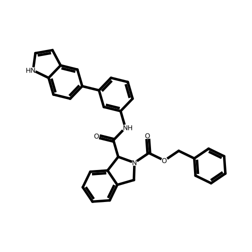 O=C(Nc1cccc(-c2ccc3[nH]ccc3c2)c1)C1c2ccccc2CN1C(=O)OCc1ccccc1